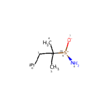 CC(C)CC(C)(C)[S@+](N)[O-]